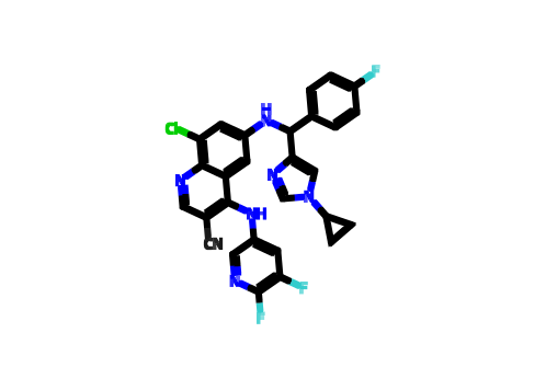 N#Cc1cnc2c(Cl)cc(NC(c3ccc(F)cc3)c3cn(C4CC4)cn3)cc2c1Nc1cnc(F)c(F)c1